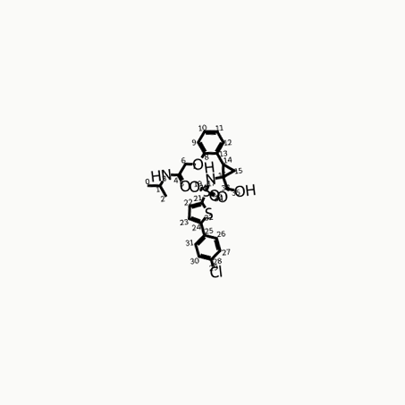 CC(C)NC(=O)COc1ccccc1C1CC1(NS(=O)(=O)c1ccc(-c2ccc(Cl)cc2)s1)C(=O)O